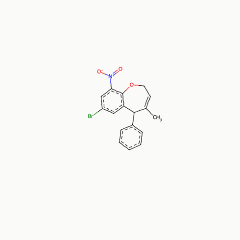 CC1=CCOc2c(cc(Br)cc2[N+](=O)[O-])C1c1ccccc1